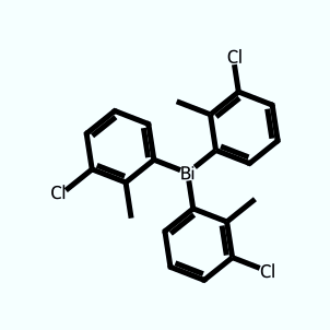 Cc1c(Cl)ccc[c]1[Bi]([c]1cccc(Cl)c1C)[c]1cccc(Cl)c1C